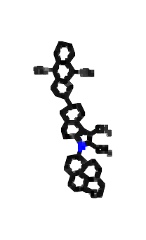 Cc1c(C)n(-c2ccc3ccc4cccc5ccc2c3c45)c2ccc3cc(-c4ccc5c(C(C)(C)C)c6ccccc6c(C(C)(C)C)c5c4)ccc3c12